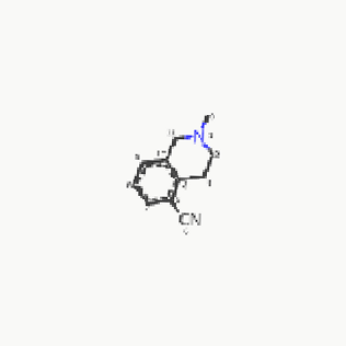 CN1CCc2c(C#N)cccc2C1